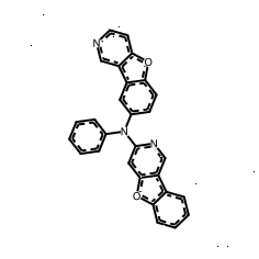 c1ccc(N(c2ccc3oc4ccncc4c3c2)c2cc3oc4ccccc4c3cn2)cc1